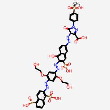 C=S(=O)(O)c1ccc(N2N=C(C(=O)O)C(/N=N/c3ccc4c(O)c(/N=N/c5cc(OCCO)c(/N=N/c6ccc7c(S(=O)O)cccc7c6S(=O)(=O)O)cc5OCCO)c(S(=O)(=O)O)cc4c3)C2=O)cc1